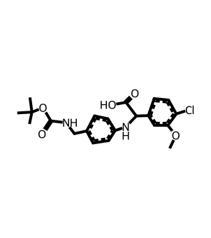 COc1cc(C(Nc2ccc(CNC(=O)OC(C)(C)C)cc2)C(=O)O)ccc1Cl